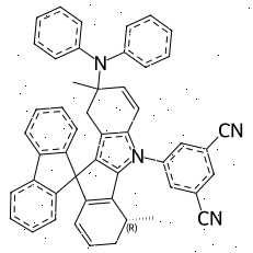 C[C@@H]1CC=CC2=C1c1c(c3c(n1-c1cc(C#N)cc(C#N)c1)C=CC(C)(N(c1ccccc1)c1ccccc1)C3)C21c2ccccc2-c2ccccc21